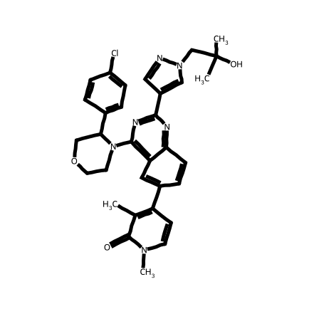 Cc1c(-c2ccc3nc(-c4cnn(CC(C)(C)O)c4)nc(N4CCOCC4c4ccc(Cl)cc4)c3c2)ccn(C)c1=O